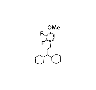 COc1ccc(CCC(C2CCCCC2)C2CCCCC2)c(F)c1F